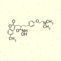 Cc1ccc2oc(=O)c(CC(CCc3ccc(OCCN(C)C)cc3)C(=O)NO)cc2c1